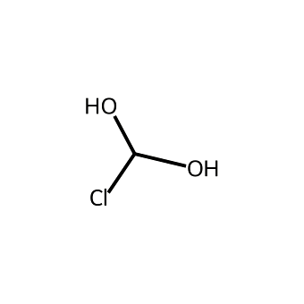 OC(O)Cl